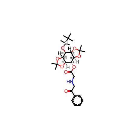 CC1(C)O[C@@H]2[C@@H](O1)[C@H](OC(=O)CNCC(=O)c1ccccc1)[C@H]1OC(C)(C)O[C@@H]1[C@H]2O[Si](C)(C)C(C)(C)C